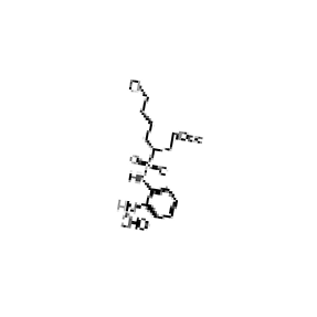 CCCCCCCCCCCC(CCCCCl)S(=O)(=O)Nc1ccccc1N[C]=O